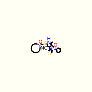 CC1=C(C(=O)Nc2ccccc2)C(c2ccsc2)C(C#N)=C(SCC(=O)N2CCCCCCCCCCC2)N1